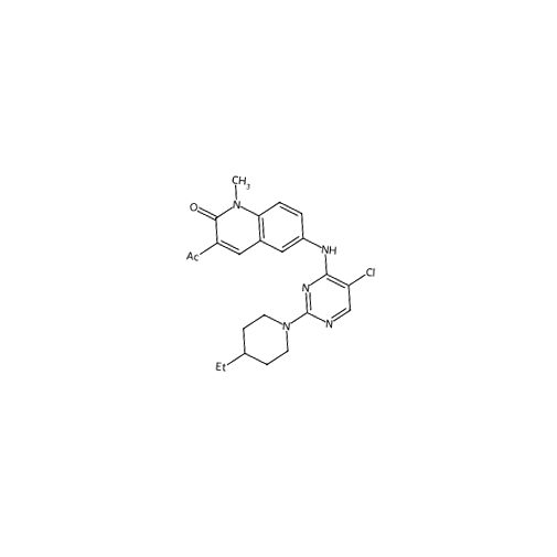 CCC1CCN(c2ncc(Cl)c(Nc3ccc4c(c3)cc(C(C)=O)c(=O)n4C)n2)CC1